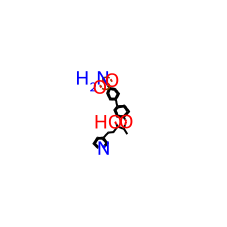 CC(Oc1ccc(-c2ccc(S(N)(=O)=O)cc2)cc1)C(O)CCc1cccnc1